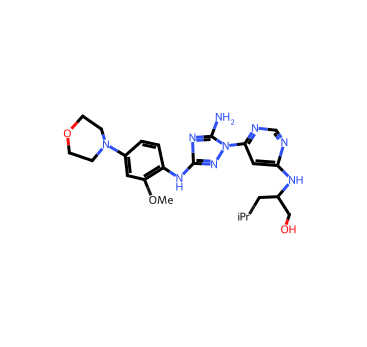 COc1cc(N2CCOCC2)ccc1Nc1nc(N)n(-c2cc(NC(CO)CC(C)C)ncn2)n1